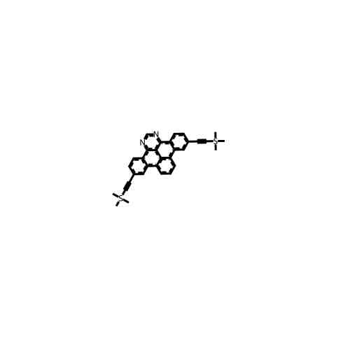 CS(C)(C)C#Cc1ccc2c(c1)c1cccc3c4cc(C#CS(C)(C)C)ccc4c4ncnc2c4c13